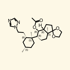 CC(=O)O[C@@H]1[C@@H]([C@@]2(C)CC[C@H](C)C[C@@H]2CCn2cncn2)CC[C@@]2(C)[C@H]1CCC21OCCO1